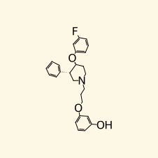 Oc1cccc(OCCCN2CC[C@H](Oc3cccc(F)c3)[C@@H](c3ccccc3)C2)c1